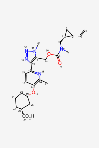 C=C[C@H]1C[C@@H]1CN(C)C(=O)OCc1c(-c2ccc(O[C@H]3CCC[C@H](C(=O)O)C3)c(C)n2)nnn1C